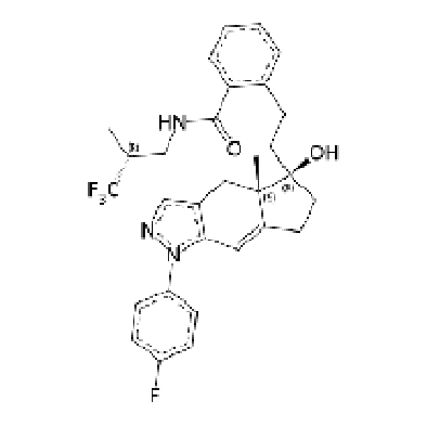 C[C@H](CNC(=O)c1ccccc1CC[C@]1(O)CCC2=Cc3c(cnn3-c3ccc(F)cc3)C[C@@]21C)C(F)(F)F